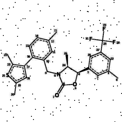 Cc1cc([C@H]2OC(=O)N(Cc3cc(C)ccc3-c3cc(C)sc3C)[C@H]2C)cc(C(F)(F)F)c1